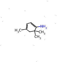 CC1=CC=C(N)C(C)(C)C1